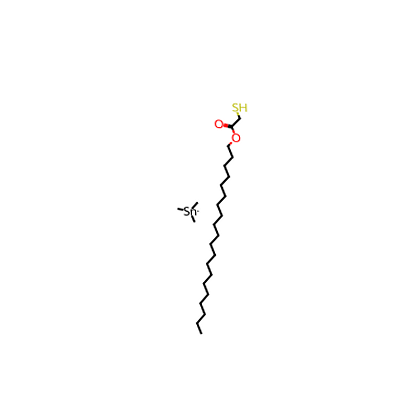 CCCCCCCCCCCCCCCCCCCCOC(=O)CS.[CH3][Sn]([CH3])[CH3]